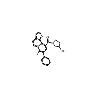 O=C(c1cc(-c2ccccc2)c(=O)n2ccc3ccsc3c12)N1CCC(O)C1